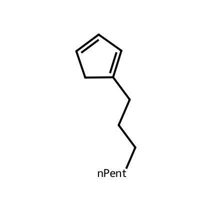 CCCCCCCCC1=CC=CC1